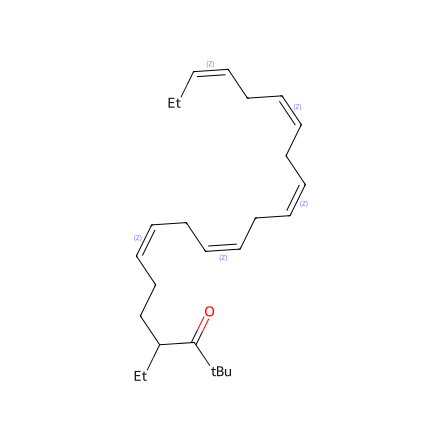 CC/C=C\C/C=C\C/C=C\C/C=C\C/C=C\CCC(CC)C(=O)C(C)(C)C